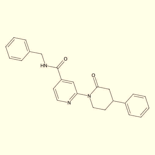 O=C(NCc1ccccc1)c1ccnc(N2CCC(c3ccccc3)CC2=O)c1